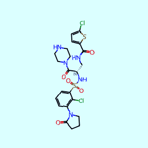 O=C(NC[C@H](NS(=O)(=O)c1cccc(N2CCCC2=O)c1Cl)C(=O)N1CCNCC1)c1ccc(Cl)s1